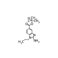 CCCn1c(N)nc2cc(C(=O)OC(C)(C)C)ccc21